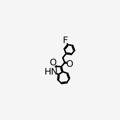 O=C(Cc1cccc(F)c1)c1c2cccccc-2[nH]c1=O